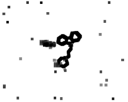 C[C@@H]1CN(CCCn2c3ccccc3c3ccccc32)C[C@H](C)N1.Cl.Cl.O